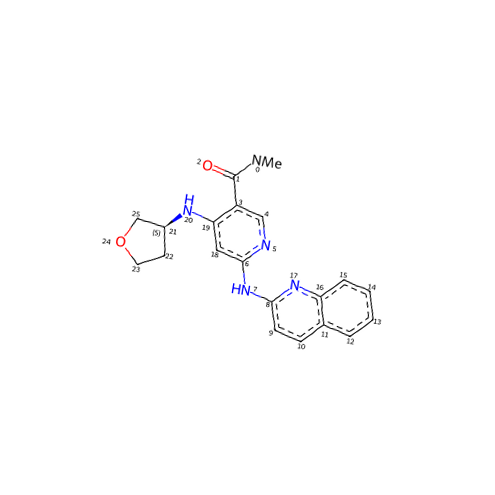 CNC(=O)c1cnc(Nc2ccc3ccccc3n2)cc1N[C@H]1CCOC1